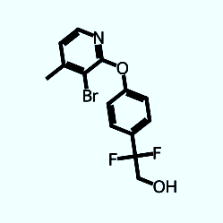 Cc1ccnc(Oc2ccc(C(F)(F)CO)cc2)c1Br